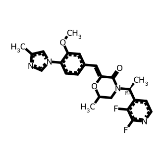 COc1cc(C=C2OC(C)CN([C@@H](C)c3ccnc(F)c3F)C2=O)ccc1-n1cnc(C)c1